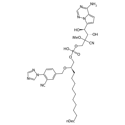 CCCCCCCCCCCCCCCCCCC[C@H](COP(=O)(O)OCC(C#N)(OC)[C@@H](O)[C@@H](O)c1ccc2c(N)ncnn12)OCc1ccc(-n2cncn2)c(C#N)c1